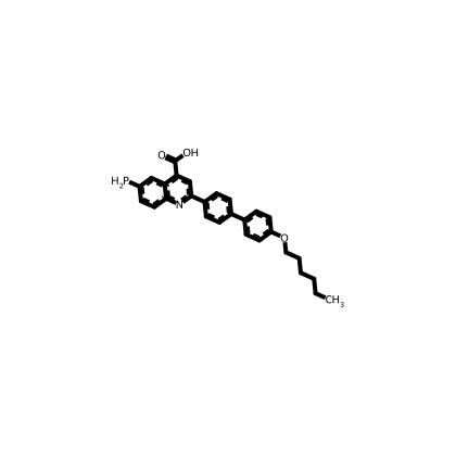 CCCCCCOc1ccc(-c2ccc(-c3cc(C(=O)O)c4cc(P)ccc4n3)cc2)cc1